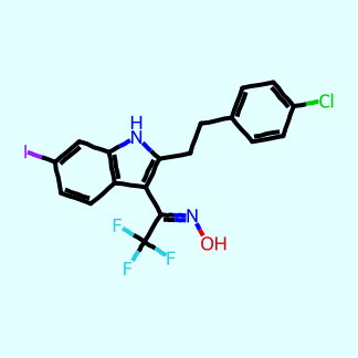 O/N=C(/c1c(CCc2ccc(Cl)cc2)[nH]c2cc(I)ccc12)C(F)(F)F